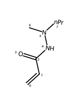 C=CC(=O)NN(C)CCC